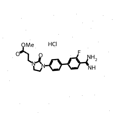 COC(=O)CCN1CCN(c2ccc(-c3ccc(C(=N)N)c(F)c3)cc2)C1=O.Cl